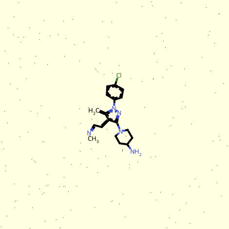 C=c1/c(=C\C=N/C)c(N2CCC(N)CC2)nn1-c1ccc(Cl)cc1